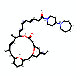 C/C=C1\CC2CC(=O)OC(/C=C/C=C\C=C\CC(=O)N3CCC(N4CCCCCC4)CC3)C(C)/C=C/C(C)CC3CCCC(CC(C1)O2)O3